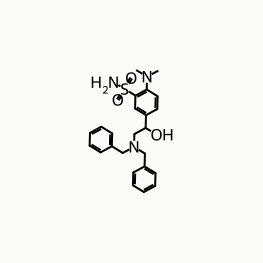 CN(C)c1ccc(C(O)CN(Cc2ccccc2)Cc2ccccc2)cc1S(N)(=O)=O